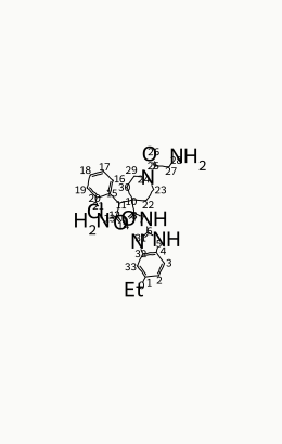 CCc1ccc2[nH]c(NC(=O)C3(C(C(N)=O)c4ccccc4Cl)CCN(C(=O)CN)CC3)nc2c1